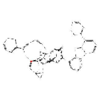 C=C/C=C\C1=C(/CC23C=Cc4[nH]c5ccc(-c6cccc7c6SC6C(C8=CC=CCC8)=CC=CC76)cc5c4C2C3)SC/C(C2=CC=CCC2)=C\C=C/C1